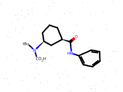 CC(C)(C)N(C(=O)O)[C@H]1CCC[C@@H](C(=O)Nc2ccccc2)C1